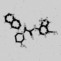 C[C@H]1CC[C@H](c2ccc3ncccc3c2)N(C(=O)C(=O)Nc2cnc(N)c3cn[nH]c23)C1